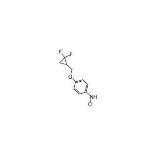 FC1(F)CC1COc1ccc(NCl)cc1